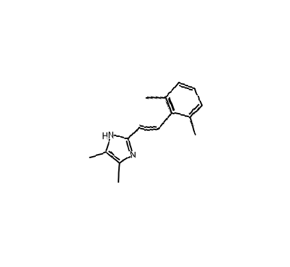 Cc1cccc(C)c1/C=C/c1nc(C)c(C)[nH]1